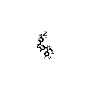 COCc1nnc(-c2cc(C)c3ncc(-c4ccc(NC(=O)OC)nc4)n3c2)n1-c1ccc(F)c(OC)c1